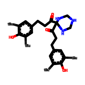 CC(C)(C)c1cc(CCC(=O)C2(C(=O)CCc3cc(C(C)(C)C)c(O)c(C(C)(C)C)c3)NCNCN2)cc(C(C)(C)C)c1O